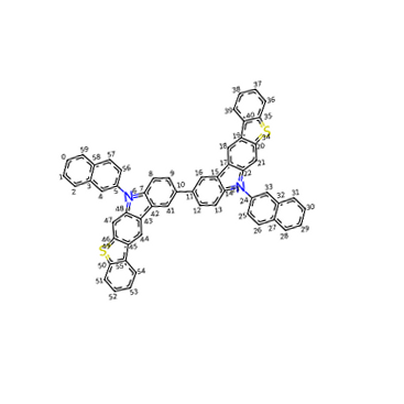 c1ccc2cc(-n3c4ccc(-c5ccc6c(c5)c5cc7c(cc5n6-c5ccc6ccccc6c5)sc5ccccc57)cc4c4cc5c(cc43)sc3ccccc35)ccc2c1